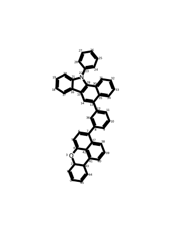 C1=CC2Oc3ccc(-c4cccc(-c5cc6c7ccccc7n(-c7ccccc7)c6c6ccccc56)c4)c4cccc(c34)C2C=C1